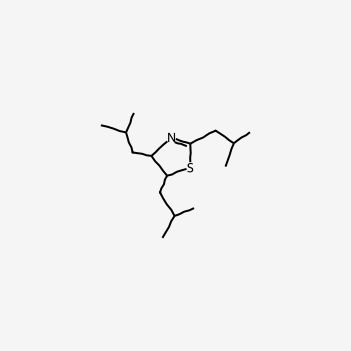 CC(C)CC1=NC(CC(C)C)C(CC(C)C)S1